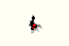 C[C@H]1[C@@H](NC(=Nc2cc3ncn(CCc4ccc(F)cc4)c(=O)c3cc2F)N2CCN[C@@H](C)C2)C[C@@H]2C[C@@H]1C2(C)C